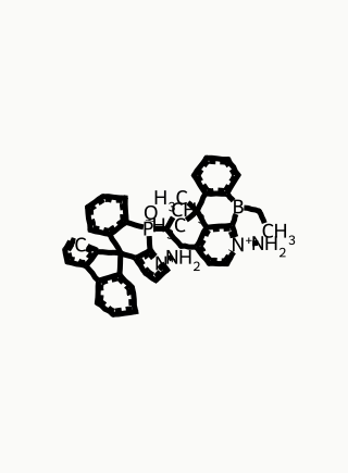 CCB1c2ccccc2C(C)(C)c2c(CC(C)P3(=O)c4ccccc4C4(c5ccccc5-c5ccccc54)c4ccc[n+](N)c43)cc[n+](N)c21